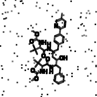 COC(=O)NC(C(=O)NC(Cc1ccc(-c2ccc(C)cn2)cc1)CC(O)C(Cc1ccccc1)NC(=O)C(NC(=O)OC)C(C)(C)C)C(C)(C)C